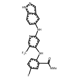 CNC(=O)c1cc(F)ccc1Nc1cc(Nc2ccc3[nH]ncc3c2)ncc1C(F)(F)F